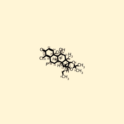 CCOC(=S)[C@@]12OC(C)(C)O[C@@H]1C[C@H]1[C@@H]3C[C@H](F)C4=C(Cl)C(=O)C=C[C@]4(C)[C@@]3(F)[C@@H](O)C[C@@]12C